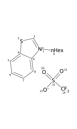 CCCCCC[n+]1csc2ccccc21.O=S(=O)([O-])C(F)(F)F